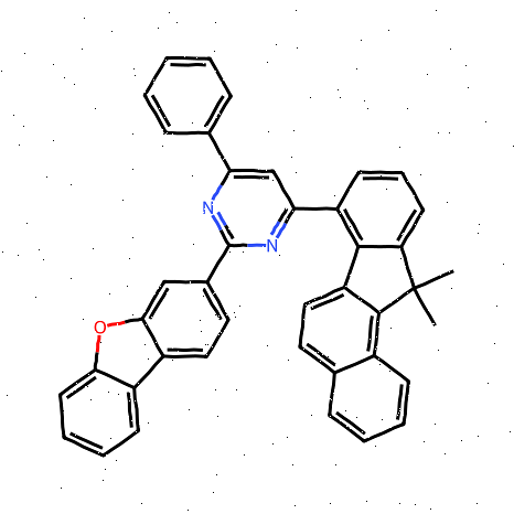 CC1(C)c2cccc(-c3cc(-c4ccccc4)nc(-c4ccc5c(c4)oc4ccccc45)n3)c2-c2ccc3ccccc3c21